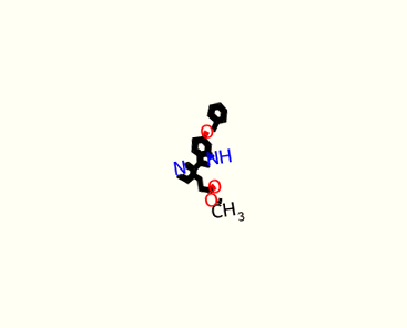 CCOC(=O)CCc1ccncc1-c1c[nH]c2cc(OCc3ccccc3)ccc12